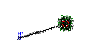 CCCCCCCCCCCCCCCCCCCCCCCCCCCC[NH2+]C.Fc1c(F)c(F)c2c([B-](c3c(F)c(F)c(F)c4c(F)c(F)c(F)c(F)c34)(c3c(F)c(F)c(F)c4c(F)c(F)c(F)c(F)c34)c3c(F)c(F)c(F)c4c(F)c(F)c(F)c(F)c34)c(F)c(F)c(F)c2c1F